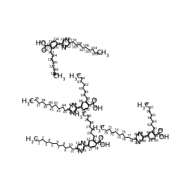 CCCCCCCCCCCCc1cnc(-c2ccc(C(=O)O)c(CCCCCCCC)c2)cn1.CCCCCCCCCCCc1cnc(-c2ccc(C(=O)O)c(CCCCCCCC)c2)cn1.CCCCCCCCCCc1cnc(-c2ccc(C(=O)O)c(CCCCCCCC)c2)cn1.CCCCCCCCCc1cnc(-c2ccc(C(=O)O)c(CCCCCCCC)c2)cn1